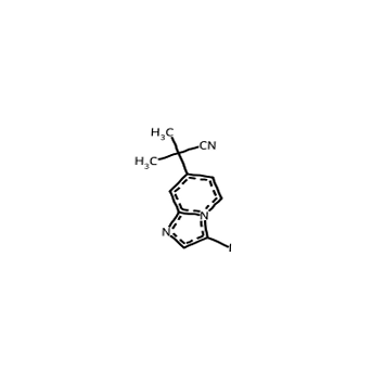 CC(C)(C#N)c1ccn2c(I)cnc2c1